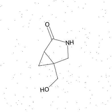 O=C1NCC2(CO)CC12